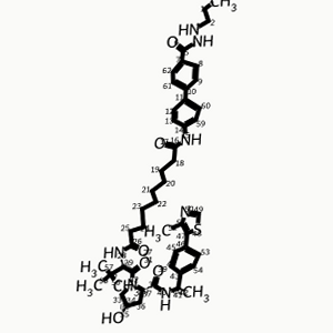 CCCNNC(=O)c1ccc(-c2ccc(NC(=O)CCCCCCCCC(=O)N[C@H](C(=O)N3C[C@H](O)C[C@H]3C(=O)N[C@@H](C)c3ccc(-c4scnc4C)cc3)C(C)(C)C)cc2)cc1